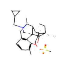 CO[C@]12CC[C@@]3(C[C@@H]1COS(C)(=O)=O)[C@H]1Cc4ccc(C)c5c4[C@@]3(CCN1CC1CC1)[C@H]2O5